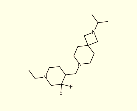 CCN1CCC(CN2CCC3(CC2)CN(C(C)C)C3)C(F)(F)C1